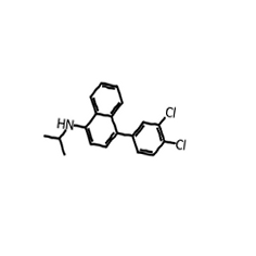 CC(C)Nc1ccc(-c2ccc(Cl)c(Cl)c2)c2ccccc12